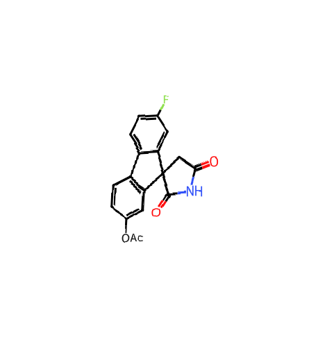 CC(=O)Oc1ccc2c(c1)C1(CC(=O)NC1=O)c1cc(F)ccc1-2